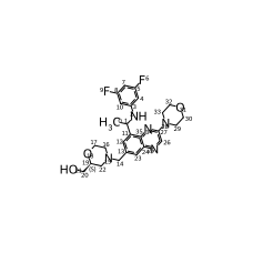 CC(Nc1cc(F)cc(F)c1)c1cc(CN2CCO[C@H](CO)C2)cc2ncc(N3CCOCC3)nc12